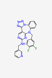 Fc1ccc(CN2c3ccccc3-n3nnnc3-c3cnc(NCc4cccnc4)nc32)cc1F